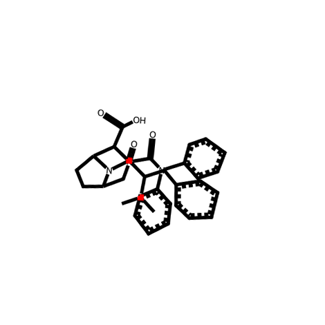 CN(C)C(Cc1ccccc1)C(=O)N1C2CCC1C(C(=O)O)N(C(=O)N(c1ccccc1)c1ccccc1)C2